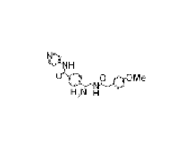 COc1ccc(CC(=O)NCC(N)c2ccc(C(=O)Nc3ccncc3)cc2)cc1